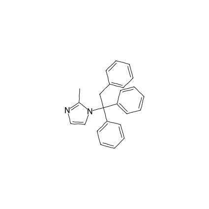 Cc1nccn1C(Cc1ccccc1)(c1ccccc1)c1ccccc1